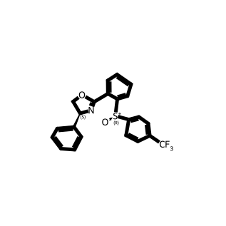 [O-][S@@+](c1ccc(C(F)(F)F)cc1)c1ccccc1C1=N[C@@H](c2ccccc2)CO1